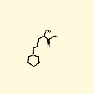 CCCCN(CCCN1CCCCC1)C(=O)CCC